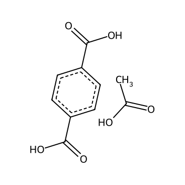 CC(=O)O.O=C(O)c1ccc(C(=O)O)cc1